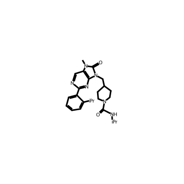 CC(C)NC(=O)N1CCC(Cn2c(=O)n(C)c3cnc(-c4ccccc4C(C)C)nc32)CC1